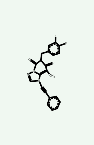 CC1=C2N(C#Cc3ccccc3)C=NN2C(=O)C(Cc2ccc(F)c(F)c2)C1=O